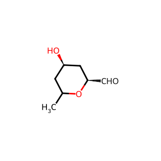 CC1C[C@@H](O)C[C@@H](C=O)O1